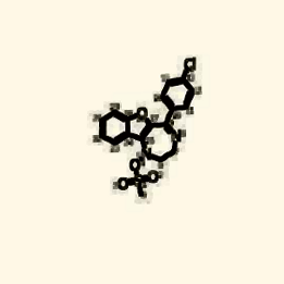 CS(=O)(=O)ON1CCN=C(c2ccc(Cl)cc2)c2oc3ccccc3c21